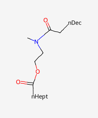 CCCCCCCCCCCC(=O)N(C)CCOC(=O)CCCCCCC